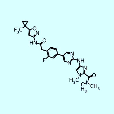 CN(C)C(=O)c1nc(Nc2ncc(-c3ccc(CC(=O)Nc4cc(C5(C(F)(F)F)CC5)on4)c(F)c3)cn2)cn1C